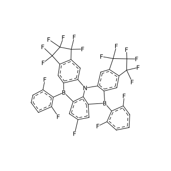 Fc1cc2c3c(c1)B(c1c(F)cccc1F)c1cc4c(cc1N3c1cc3c(cc1B2c1c(F)cccc1F)C(F)(F)C(F)(F)C3(F)F)C(F)(F)C(F)(F)C4(F)F